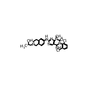 C[C@H](O)CN1CCc2cc(Nc3ncc4c(=N)n(-c5c(Cl)cccc5Cl)c(=O)n(C)c4n3)ccc2C1